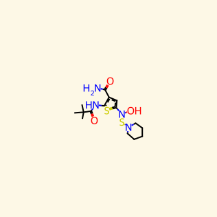 CC(C)(C)C(=O)Nc1sc(N(O)SN2CCCCC2)cc1C(N)=O